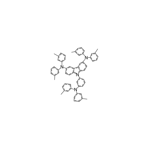 Cc1cccc(N(c2cccc(C)c2)c2cccc(-n3c4ccc(N(c5cccc(C)c5)c5cccc(C)c5)cc4c4cc(N(c5cccc(C)c5)c5cccc(C)c5)ccc43)c2)c1